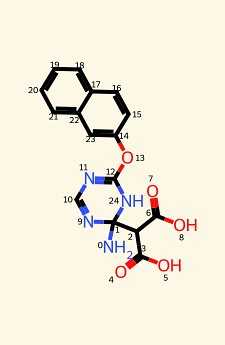 NC1(C(C(=O)O)C(=O)O)N=CN=C(Oc2ccc3ccccc3c2)N1